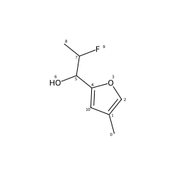 Cc1coc(C(O)C(C)F)c1